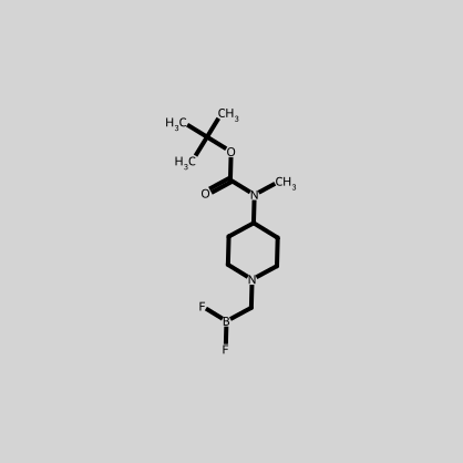 CN(C(=O)OC(C)(C)C)C1CCN(CB(F)F)CC1